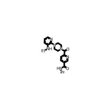 CCNc1cccnc1N1CCN(C(=O)c2ccc(C(=O)NC(C)C)cn2)CC1